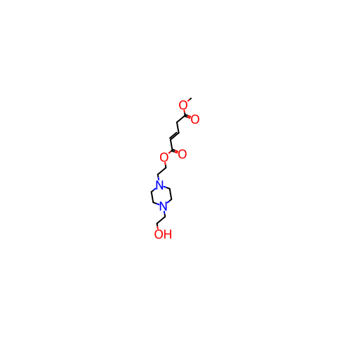 COC(=O)C/C=C/C(=O)OCCN1CCN(CCO)CC1